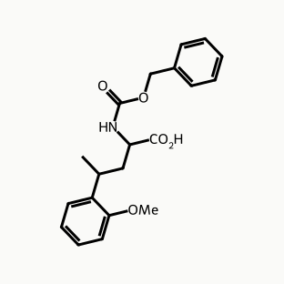 COc1ccccc1C(C)CC(NC(=O)OCc1ccccc1)C(=O)O